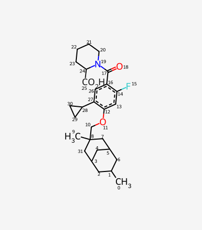 CC1CC2CC(C1)CC(C)(COc1cc(F)c(C(=O)N3CCCCC3C(=O)O)cc1C1CC1)C2